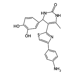 CC1=C(c2nc(-c3ccc(N)cc3)cs2)C(c2ccc(O)c(O)c2)NC(=O)N1